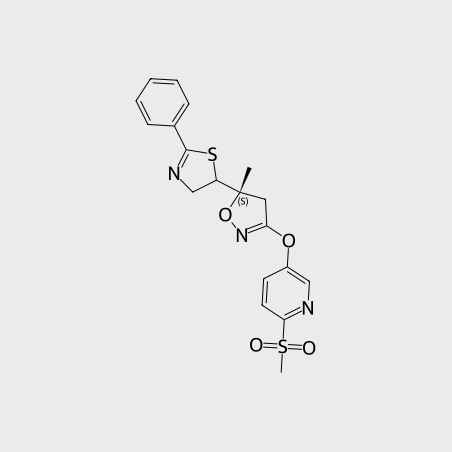 C[C@@]1(C2CN=C(c3ccccc3)S2)CC(Oc2ccc(S(C)(=O)=O)nc2)=NO1